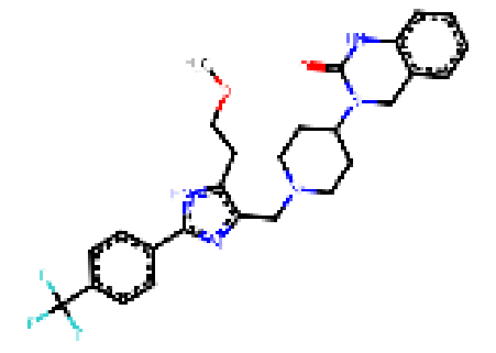 COCCc1[nH]c(-c2ccc(C(F)(F)F)cc2)nc1CN1CCC(N2Cc3ccccc3NC2=O)CC1